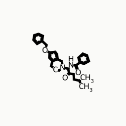 CC(C)CCC(=O)C(NC(=O)c1ccccc1)N1CCCc2cc(OCc3ccccc3)ccc2C1